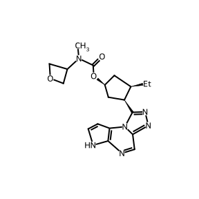 CC[C@@H]1C[C@H](OC(=O)N(C)C2COC2)C[C@@H]1c1nnc2cnc3[nH]ccc3n12